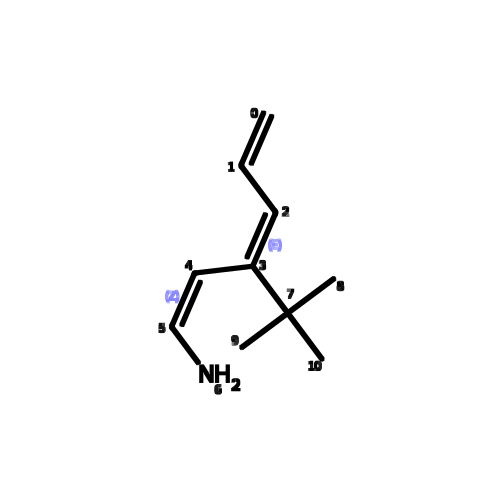 C=C/C=C(\C=C/N)C(C)(C)C